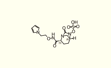 O=C(NOCCn1cccc1)[C@@H]1CC[C@@H]2CN1C(=O)N2OS(=O)(=O)O